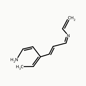 C=C\N=C/C=C/C(/C=C\N)=C/C